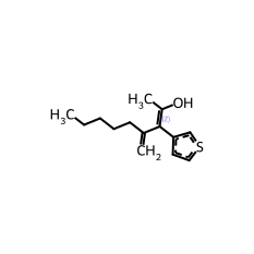 C=C(CCCCC)/C(=C(\C)O)c1ccsc1